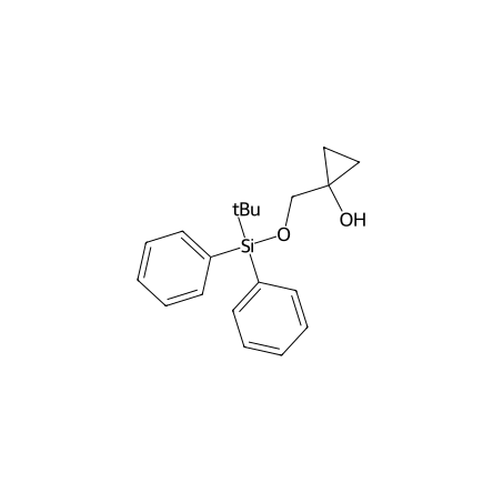 CC(C)(C)[Si](OCC1(O)CC1)(c1ccccc1)c1ccccc1